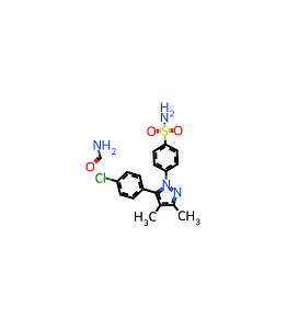 Cc1nn(-c2ccc(S(N)(=O)=O)cc2)c(-c2ccc(Cl)cc2)c1C.NC=O